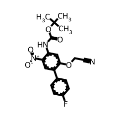 CC(C)(C)OC(=O)Nc1cc(OCC#N)c(-c2ccc(F)cc2)cc1[N+](=O)[O-]